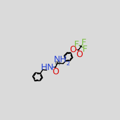 N[C@@H](Cc1ccc(OC(=O)C(F)(F)F)cc1)C(=O)NCCc1ccccc1